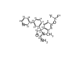 Cc1cc(OC(F)F)ccc1C1(c2cccc(-c3cccnc3)c2)COC(N)=N1